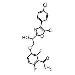 NC(=O)c1c(F)ccc(OCC(O)c2nc(-c3ccc(Cl)cc3)c(Cl)o2)c1F